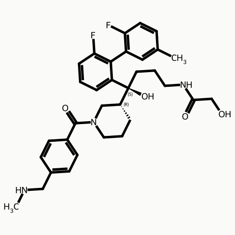 CNCc1ccc(C(=O)N2CCC[C@@H]([C@@](O)(CCCNC(=O)CO)c3cccc(F)c3-c3cc(C)ccc3F)C2)cc1